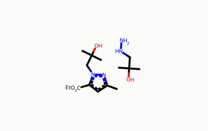 CC(C)(O)CNN.CCOC(=O)c1cc(C)nn1CC(C)(C)O